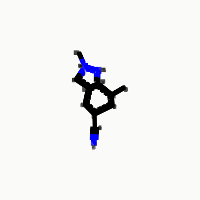 Cc1cc(C#N)cc2cn(C)nc12